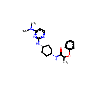 CC(Oc1ccccc1)C(=O)N[C@H]1CC[C@@H](Nc2nccc(N(C)C)n2)CC1